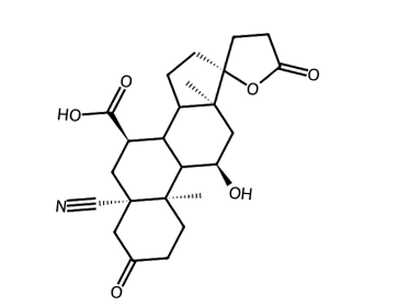 C[C@]12C[C@@H](O)C3C(C1CC[C@@]21CCC(=O)O1)[C@H](C(=O)O)C[C@]1(C#N)CC(=O)CC[C@]31C